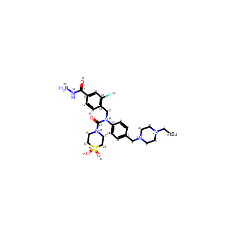 CC(C)(C)CN1CCN(Cc2ccc(N(Cc3ccc(C(=O)NN)cc3F)C(=O)N3CCS(=O)(=O)CC3)cc2)CC1